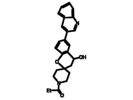 CCC(=O)N1CCC2(CC1)CC(O)c1cc(-c3cnc4ccccc4c3)ccc1O2